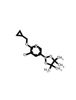 CC1(C)OB(c2cnc(OCC3CC3)c(Cl)c2)OC1(C)C